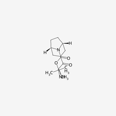 CC(C)(C)OC(=O)N1[C@@H]2CC[C@H]1CC(C(=O)C=N)C2